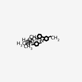 C=Cc1ccc2c(c1)c1ccccc1n2Cc1ccc(CP(=O)(OC(C)(C)C)OC(C)(C)C)cc1